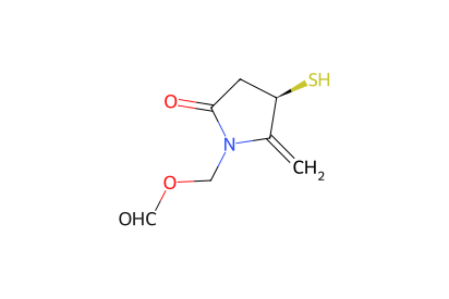 C=C1[C@H](S)CC(=O)N1COC=O